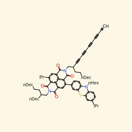 C#CC#CC#CC#CC#CC(CCCCCCCCCCCC)CN1C(=O)c2cc(C(C)C)c3c4c(cc(-c5ccc6c(c5)Sc5cc(C(C)C)ccc5N6CCCCCC)c(c24)C1=O)C(=O)N(CC(CCCCCCCCCC)CCCCCCCCCCCC)C3=O